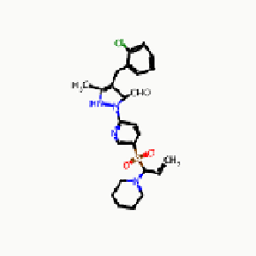 C=CC(N1CCCCC1)S(=O)(=O)c1ccc(N2NC(C)=C(Cc3ccccc3Cl)C2C=O)nc1